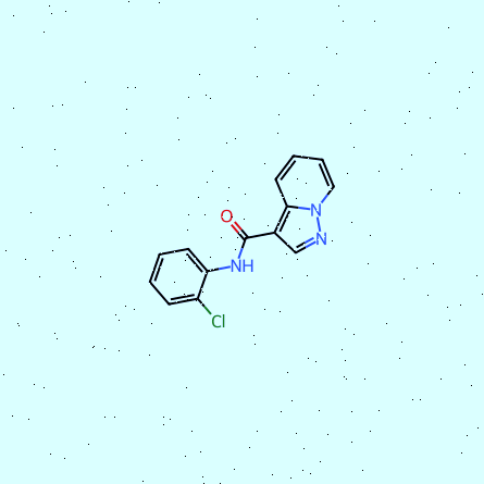 O=C(Nc1ccccc1Cl)c1cnn2ccccc12